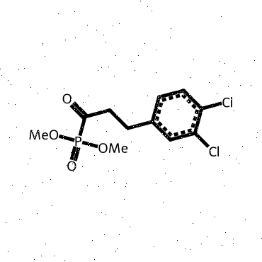 COP(=O)(OC)C(=O)CCc1ccc(Cl)c(Cl)c1